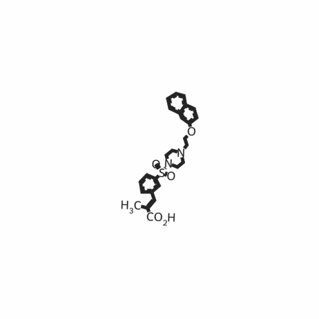 CC(=Cc1cccc(S(=O)(=O)N2CCN(CCOc3ccc4ccccc4c3)CC2)c1)C(=O)O